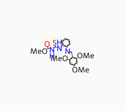 COC(=O)NC(=S)Nc1ccccc1N=Cc1c(OC)cc(OC)cc1OC